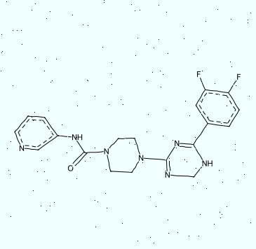 O=C(Nc1cccnc1)N1CCN(C2=NCNC(c3ccc(F)c(F)c3)=N2)CC1